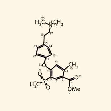 COC(=O)c1cc(S(C)(=O)=O)c(Oc2ccc(CCN(C)C)cc2)cc1C